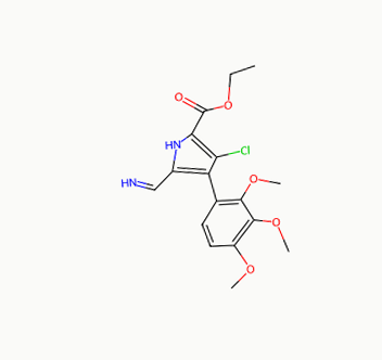 CCOC(=O)c1[nH]c(C=N)c(-c2ccc(OC)c(OC)c2OC)c1Cl